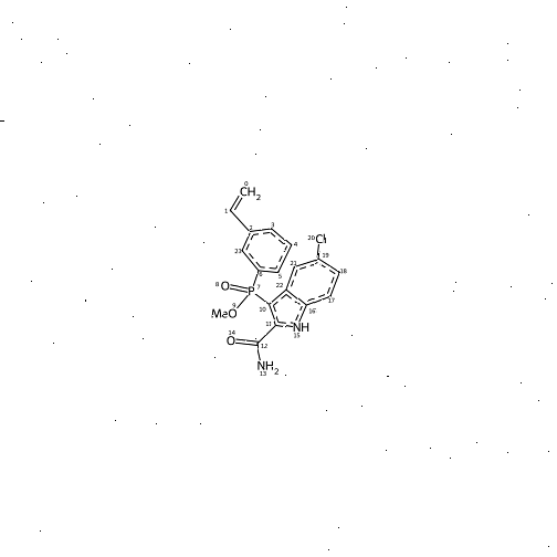 C=Cc1cccc(P(=O)(OC)c2c(C(N)=O)[nH]c3ccc(Cl)cc23)c1